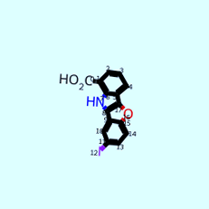 O=C(O)c1cccc2c1[nH]c1c3cc(I)ccc3oc21